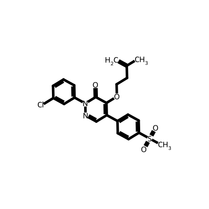 C=C(C)CCOc1c(-c2ccc(S(C)(=O)=O)cc2)cnn(-c2cccc(Cl)c2)c1=O